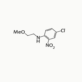 COCCNc1ccc(Cl)cc1[N+](=O)[O-]